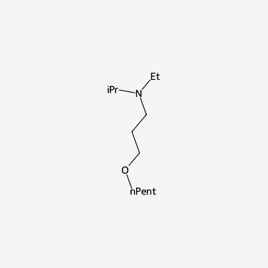 CCCCCOCCCN(CC)C(C)C